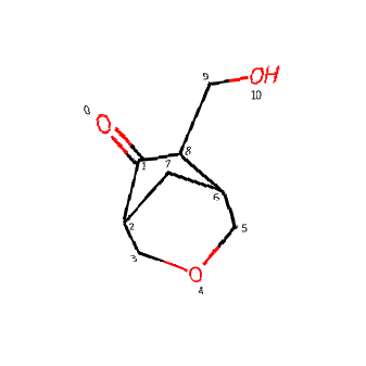 O=C1C2COCC(C2)C1CO